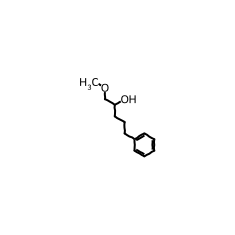 COCC(O)CCCc1ccccc1